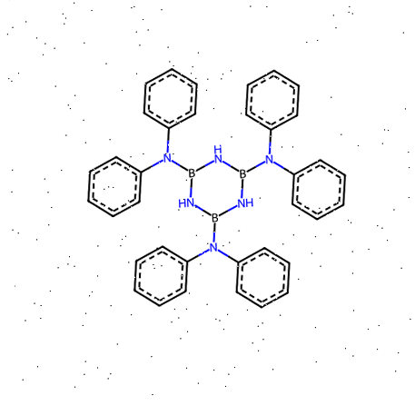 c1ccc(N(B2NB(N(c3ccccc3)c3ccccc3)NB(N(c3ccccc3)c3ccccc3)N2)c2ccccc2)cc1